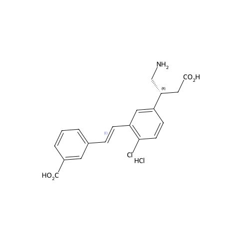 Cl.NC[C@H](CC(=O)O)c1ccc(Cl)c(/C=C/c2cccc(C(=O)O)c2)c1